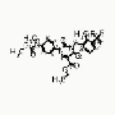 CCOC(=O)c1cn(-c2ccc(N(C)C(=O)OC)cc2)c(=O)n(Cc2cccc(C(F)(F)F)c2C)c1=O